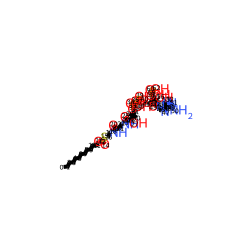 CCCCCCCCCCCCOC(=O)SCCNC(=O)CCNC(=O)[C@H](O)C(C)(C)COP(=O)(O)OP(=O)(O)OC[C@H]1O[C@@H](n2cnc3c(N)ncnc32)[C@H](O)[C@@H]1OP(=O)(O)O